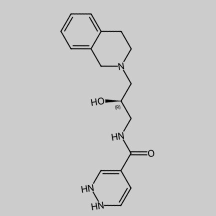 O=C(NC[C@@H](O)CN1CCc2ccccc2C1)C1=CNNC=C1